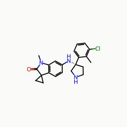 Cc1c(Cl)cccc1[C@@]1(Nc2ccc3c(c2)N(C)C(=O)C32CC2)CCNC1